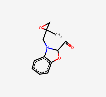 CC1(CN2c3ccccc3OC2C=O)CO1